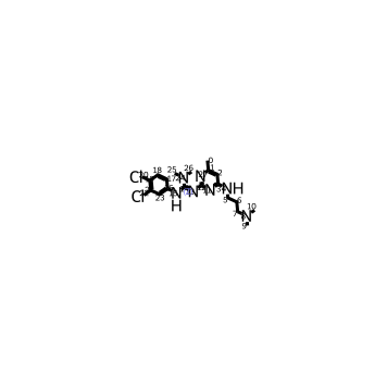 Cc1cc(NCCCN(C)C)nc(/N=C(/Nc2ccc(Cl)c(Cl)c2)N(C)C)n1